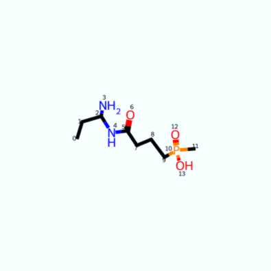 CCC(N)NC(=O)CCCP(C)(=O)O